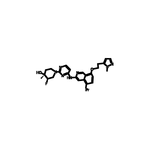 CC(C)c1ccc(OCCc2ccnn2C)c2cnc(Nc3ccnc(N4CC[C@](C)(O)[C@H](F)C4)n3)cc12